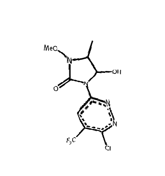 CON1C(=O)N(c2cc(C(F)(F)F)c(Cl)nn2)C(O)C1C